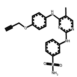 C#CCOc1ccc(Nc2nc(Nc3cccc(S(N)(=O)=O)c3)ncc2C)cc1